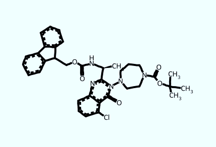 C[C@H](NC(=O)OCC1c2ccccc2-c2ccccc21)c1nc2cccc(Cl)c2c(=O)n1N1CCCN(C(=O)OC(C)(C)C)CC1